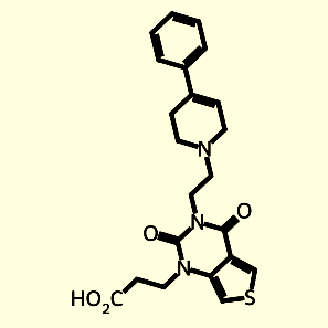 O=C(O)CCn1c(=O)n(CCN2CC=C(c3ccccc3)CC2)c(=O)c2cscc21